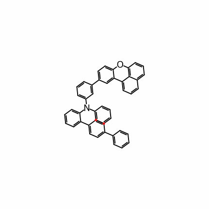 c1ccc(-c2ccc(-c3ccccc3N(c3ccccc3)c3cccc(-c4ccc5c(c4)-c4cccc6cccc(c46)O5)c3)cc2)cc1